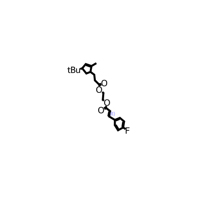 CC1=CC(C(C)(C)C)CC1CCC(=O)OCCOC(=O)/C=C/c1ccc(F)cc1